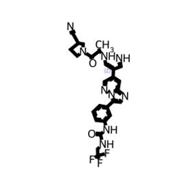 CC(N/C=C(\C=N)c1cnn2c(-c3cccc(NC(=O)NCC(F)(F)F)c3)cnc2c1)C(=O)N1CCC(C#N)C1